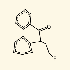 O=C(c1ccccc1)C(CCF)c1ccccc1